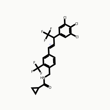 O=C(NCc1ccc(/C=C/C(c2cc(Cl)c(Cl)c(Cl)c2)C(F)(F)F)cc1C(F)(F)F)C1CC1